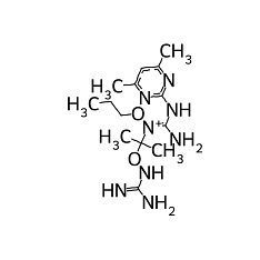 CCCO[N+](=C(N)Nc1nc(C)cc(C)n1)C(C)(C)ONC(=N)N